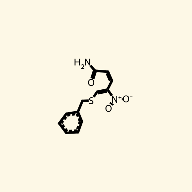 NC(=O)/C=C\C(=C\SCc1ccccc1)[N+](=O)[O-]